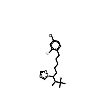 CC(C(CCCCCc1ccc(Cl)cc1Cl)n1cncn1)C(C)(C)C